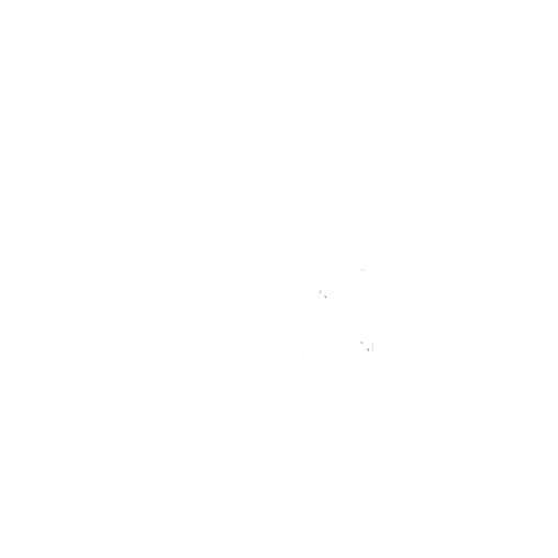 NC(=O)N(S)c1ccc(C=O)cc1